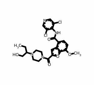 CCC(CO)N1CCN(C(=O)c2cc3c(C(=O)Nc4c(Cl)cncc4Cl)ccc(OC)c3o2)CC1